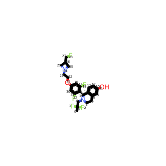 CC(F)(F)CN1CCc2cc(O)ccc2[C@@H]1c1c(F)cc(OCCN2CC(CF)C2)cc1F